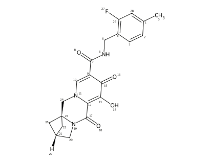 Cc1ccc(CNC(=O)c2cn3c(c(O)c2=O)C(=O)N2C[C@H]4C[C@]2(C3)C4)c(F)c1